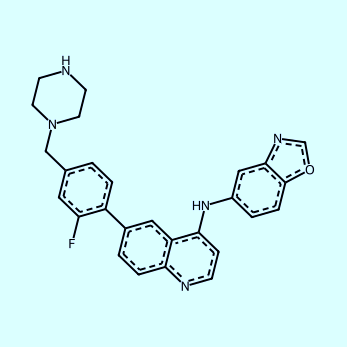 Fc1cc(CN2CCNCC2)ccc1-c1ccc2nccc(Nc3ccc4ocnc4c3)c2c1